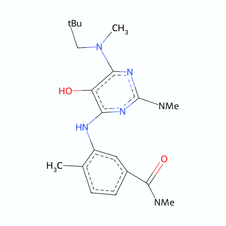 CNC(=O)c1ccc(C)c(Nc2nc(NC)nc(N(C)CC(C)(C)C)c2O)c1